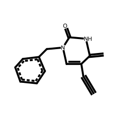 C#CC1=CN(Cc2ccccc2)C(=O)NC1=C